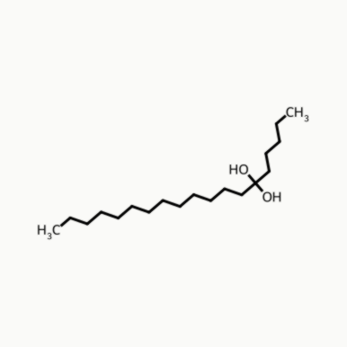 CCCCCCCCCCCCCC(O)(O)CCCCC